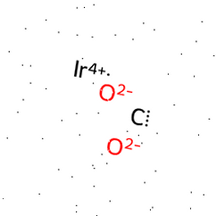 [C].[Ir+4].[O-2].[O-2]